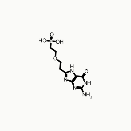 Nc1nc2nc(CCOCCP(=O)(O)O)[nH]c2c(=O)[nH]1